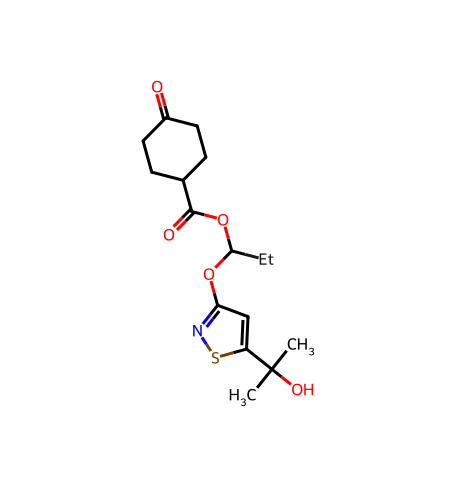 CCC(OC(=O)C1CCC(=O)CC1)Oc1cc(C(C)(C)O)sn1